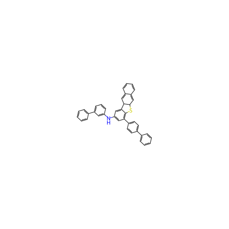 C1=c2ccccc2=CC2c3cc(Nc4cccc(-c5ccccc5)c4)cc(-c4ccc(-c5ccccc5)cc4)c3SC12